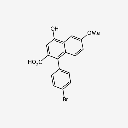 COc1ccc2c(-c3ccc(Br)cc3)c(C(=O)O)cc(O)c2c1